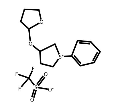 O=S(=O)([O-])C(F)(F)F.c1ccc([S+]2CCC(OC3CCCO3)C2)cc1